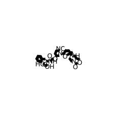 CC(C)(C=C(C#N)C(=O)N1CCC[C@H](OC(=O)N[C@@H](Cc2ccccc2)B(O)O)C1)N1CCN2C(=O)OC[C@H]2C1